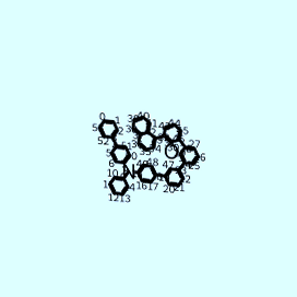 c1ccc(-c2ccc(N(c3ccccc3)c3ccc(-c4cccc(-c5cccc6c5oc5c(-c7cccc8ccccc78)cccc56)c4)cc3)cc2)cc1